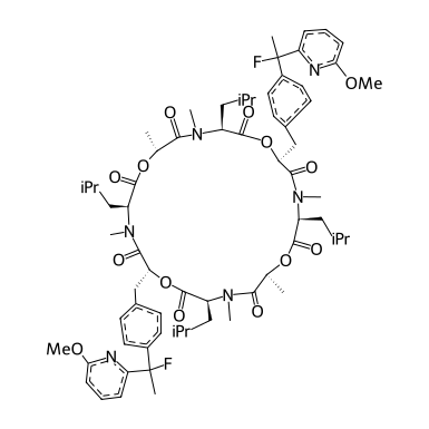 COc1cccc(C(C)(F)c2ccc(C[C@H]3OC(=O)[C@H](CC(C)C)N(C)C(=O)[C@@H](C)OC(=O)[C@H](CC(C)C)N(C)C(=O)[C@@H](Cc4ccc(C(C)(F)c5cccc(OC)n5)cc4)OC(=O)[C@H](CC(C)C)N(C)C(=O)[C@@H](C)OC(=O)[C@H](CC(C)C)N(C)C3=O)cc2)n1